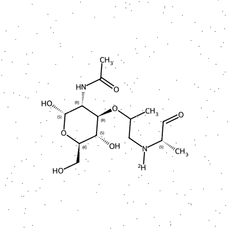 [2H]N(CC(C)O[C@H]1[C@H](O)[C@@H](CO)O[C@H](O)[C@@H]1NC(C)=O)[C@@H](C)[C]=O